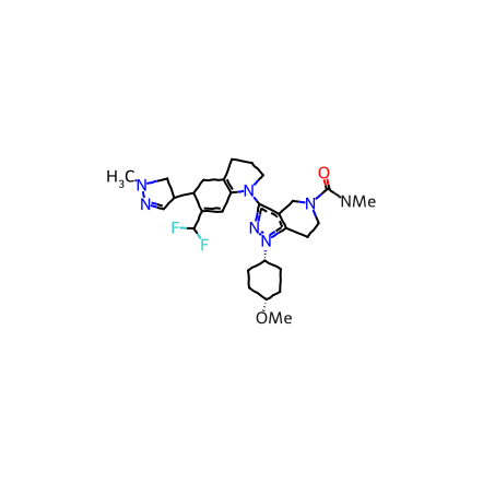 CNC(=O)N1CCc2c(c(N3CCCC4=C3C=C(C(F)F)C(C3C=NN(C)C3)C4)nn2[C@H]2CC[C@@H](OC)CC2)C1